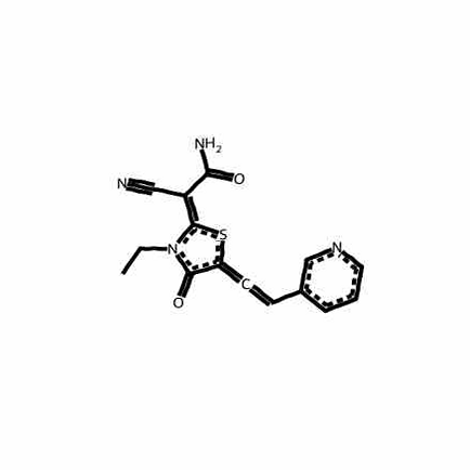 CCn1c(=O)c(=C=Cc2cccnc2)s/c1=C(/C#N)C(N)=O